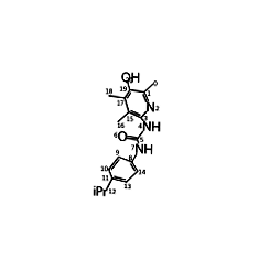 Cc1nc(NC(=O)Nc2ccc(C(C)C)cc2)c(C)c(C)c1O